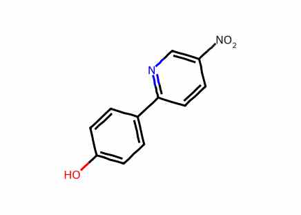 O=[N+]([O-])c1ccc(-c2ccc(O)cc2)nc1